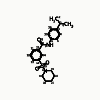 CC(C)c1ccc(NC(=O)c2cccc(S(=O)(=O)N3CCCCC3)c2)cc1